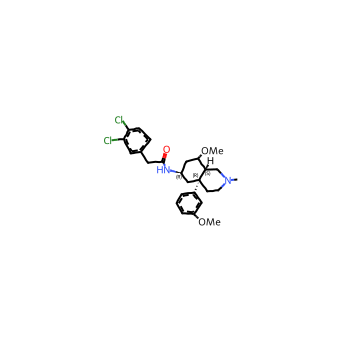 COc1cccc([C@@]23CCN(C)C[C@H]2C(OC)C[C@H](NC(=O)Cc2ccc(Cl)c(Cl)c2)C3)c1